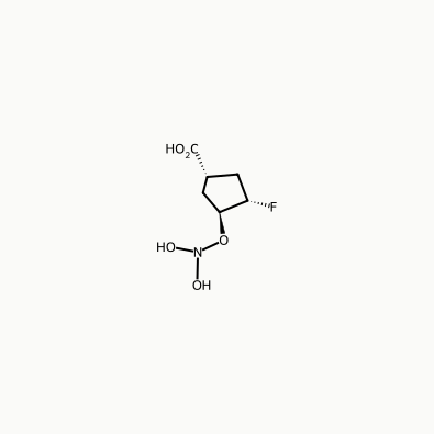 O=C(O)[C@H]1C[C@H](ON(O)O)[C@@H](F)C1